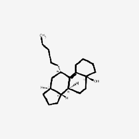 CCCCC[C@H]1C[C@@H]2CCC[C@H]2[C@@H]2CC[C@@]3(O)CCCCC3=C12